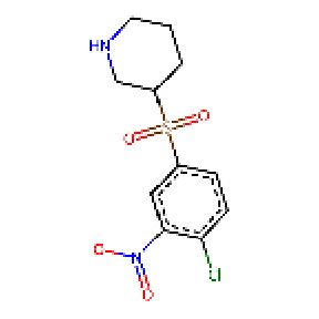 O=[N+]([O-])c1cc(S(=O)(=O)C2CCCNC2)ccc1Cl